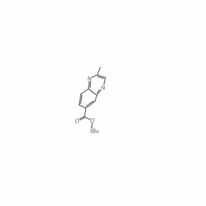 Cc1cnc2cc(C(=O)OC(C)(C)C)ccc2n1